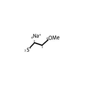 COCC[S-].[Na+]